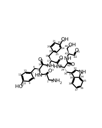 NCC(=O)N[C@@H](Cc1ccc(O)cc1)C(=O)N[C@@H](Cc1ccc(O)cc1)C(=O)N[C@@H](Cc1c[nH]c2ccccc12)C(=O)N[C@H]([C]=O)CO